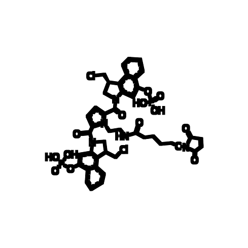 O=C(CCCCCN1C(=O)C=CC1=O)NCCn1c(C(=O)N2CC(CCl)c3c2cc(OP(=O)(O)O)c2ccccc32)ccc1C(=O)N1C[C@@H](CCl)c2c1cc(OP(=O)(O)O)c1ccccc21